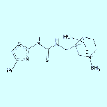 [BH3-][N+]12CCC(CC1)C(O)(CNC(=S)Nc1nc(C(C)C)cs1)C2